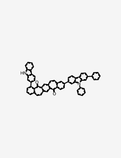 O=c1c2ccc(-c3ccc4c5ccc(-c6ccccc6)cc5n(-c5ccccc5)c4c3)cc2ccc2cc3c(=O)c4c(-c5ccc6c(c5)[nH]c5ccccc56)cccc4ccc3cc12